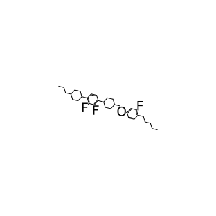 CCCCCc1ccc(OCC2CCC(c3ccc(C4CCC(CCC)CC4)c(F)c3F)CC2)cc1F